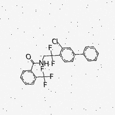 O=C(NCC(F)(F)c1ccc(-c2ccccc2)cc1Cl)c1ccccc1C(F)(F)F